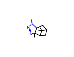 CN1N=NC2(C)C1CC1CC2C1(C)C